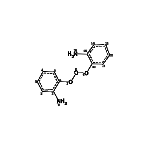 Nc1ccccc1OOOc1ccccc1N